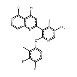 Cc1c(Oc2ncc(C(F)(F)F)c(C)c2-c2cc(Cl)c3c(Cl)cccc3n2)ccc(F)c1F